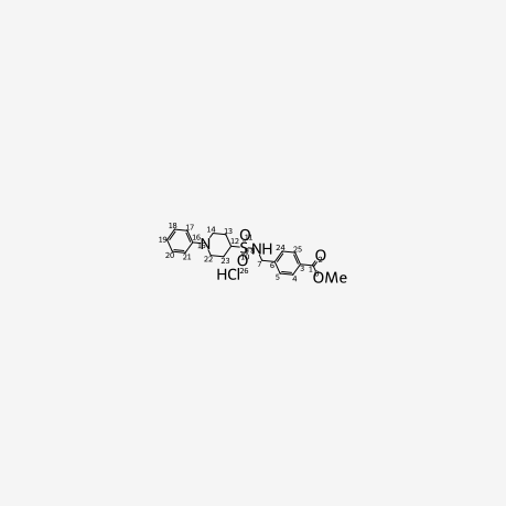 COC(=O)c1ccc(CNS(=O)(=O)C2CCN(c3ccccc3)CC2)cc1.Cl